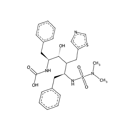 CN(C)S(=O)(=O)N[C@@H](Cc1ccccc1)C(Cc1cncs1)[C@@H](O)[C@H](Cc1ccccc1)NC(=O)O